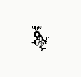 CC(=O)C(=Cc1cccc([N+](=O)[O-])c1)P(=O)(OCC(C)C)OCC(C)C